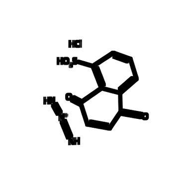 Cl.N=[N+]=N.O=C1C=CC(=O)c2c1cccc2S(=O)(=O)O